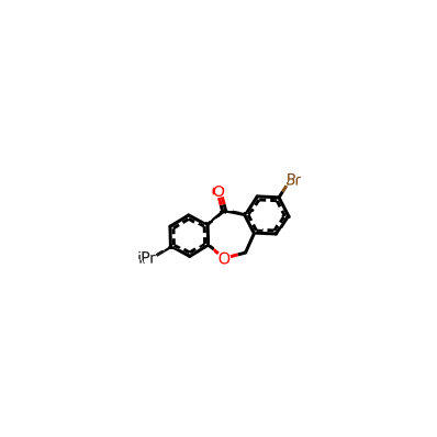 CC(C)c1ccc2c(c1)OCc1ccc(Br)cc1C2=O